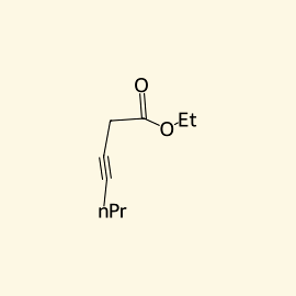 CCCC#CCC(=O)OCC